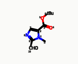 Cn1c(C(=O)OC(C)(C)C)cnc1C=O